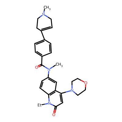 CCn1c(=O)cc(N2CCOCC2)c2cc(N(C)C(=O)c3ccc(C4=CCN(C)CC4)cc3)ccc21